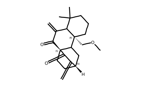 C=C1C(=O)[C@@]23CC[C@@H](CC2[C@]2(COC)CCCC(C)(C)C12)C(=C)C3=O